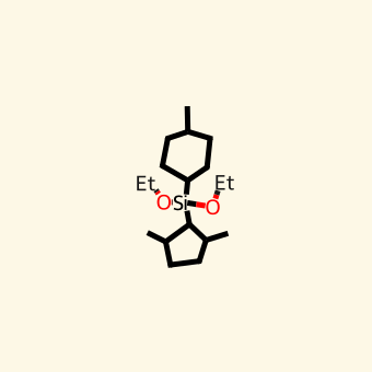 CCO[Si](OCC)(C1CCC(C)CC1)C1C(C)CCC1C